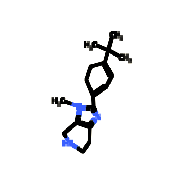 Cn1c(C2=CC=C(C(C)(C)C)CC2)nc2c1CNCC2